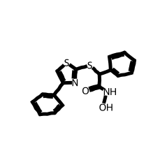 O=C(NO)C(Sc1nc(-c2ccccc2)cs1)c1ccccc1